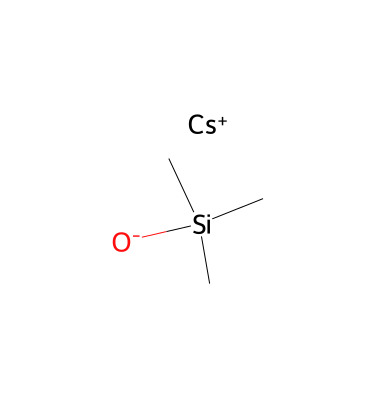 C[Si](C)(C)[O-].[Cs+]